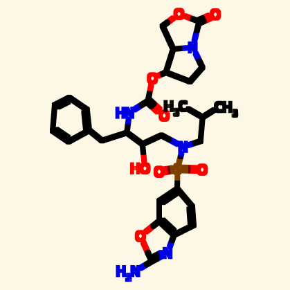 CC(C)CN(CC(O)C(Cc1ccccc1)NC(=O)OC1CCN2C(=O)OCC12)S(=O)(=O)c1ccc2nc(N)oc2c1